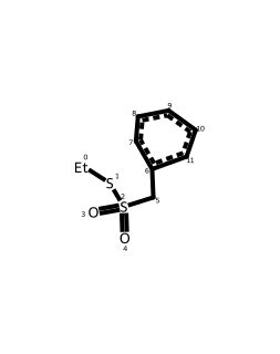 CCSS(=O)(=O)Cc1ccccc1